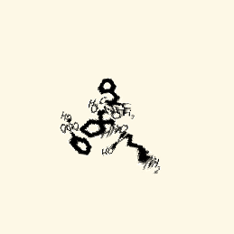 CC(C)(Cc1ccccc1)NC(=O)C1(C(=O)NOB(O)CCCCN)CCCC1.O=S(=O)(O)c1ccccc1